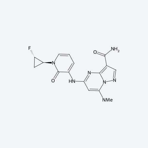 CNc1cc(Nc2cccn([C@H]3C[C@@H]3F)c2=O)nc2c(C(N)=O)cnn12